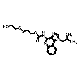 CC(C)Cn1cnc2c(NC(=O)OCCSSCCO)nc3ccccc3c21